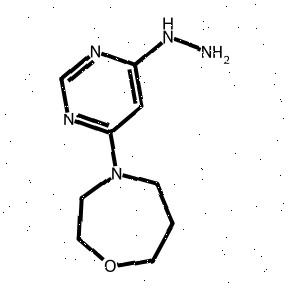 NNc1cc(N2CCCOCC2)ncn1